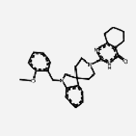 COc1ccccc1CN1CC2(CCN(c3nc4c(c(=O)[nH]3)CCCC4)CC2)c2ccccc21